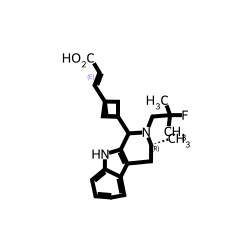 C[C@@H]1Cc2c([nH]c3ccccc23)C(C23CC(/C=C/C(=O)O)(C2)C3)N1CC(C)(C)F